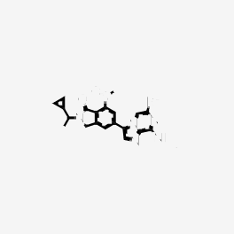 CC(C1CC1)N1Cc2cc(-c3cnc4c(N)nc(Br)cn34)cc([S+](C)[O-])c2C1=O